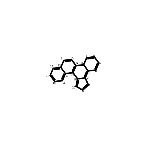 C1=CC2=C3C=CC=CC3c3ccc4ccccc4c3C2=C1